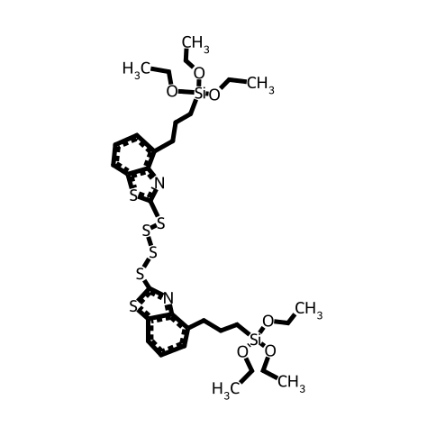 CCO[Si](CCCc1cccc2sc(SSSSc3nc4c(CCC[Si](OCC)(OCC)OCC)cccc4s3)nc12)(OCC)OCC